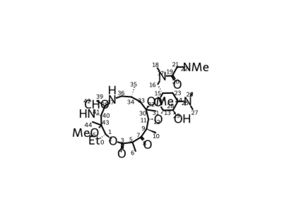 CC[C@H]1OC(=O)C(C)C(=O)[C@H](C)[C@@H](O[C@@H]2O[C@H](CN(C)C(=O)CNC)CC(N(C)C)[C@H]2O)[C@](C)(OC)C[C@@H](C)CN[C@H](C)[C@@H](NC=O)[C@]1(C)OC